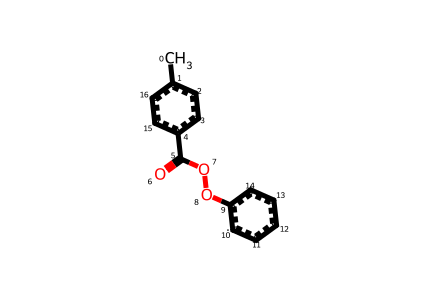 Cc1ccc(C(=O)OOc2[c]cccc2)cc1